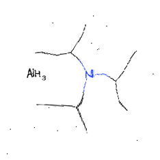 CC(C)N(C(C)C)C(C)C.[AlH3]